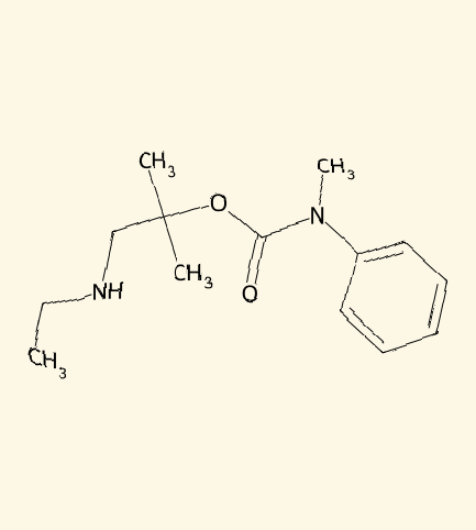 CCNCC(C)(C)OC(=O)N(C)c1ccccc1